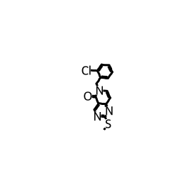 CSc1ncc2c(=O)n(Cc3ccccc3Cl)ccc2n1